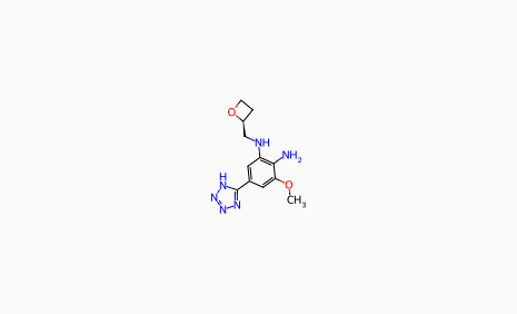 COc1cc(-c2nnn[nH]2)cc(NC[C@@H]2CCO2)c1N